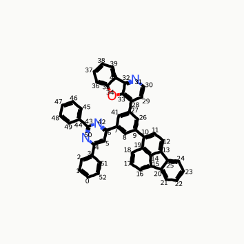 c1ccc(-c2cc(-c3cc(-c4ccc5c6c(cccc46)-c4ccccc4-5)cc(-c4ccnc5c4oc4ccccc45)c3)nc(-c3ccccc3)n2)cc1